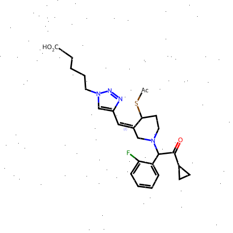 CC(=O)SC1CCN(C(C(=O)C2CC2)c2ccccc2F)C/C1=C/c1cn(CCCCC(=O)O)nn1